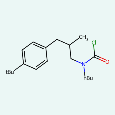 CCCCN(CC(C)Cc1ccc(C(C)(C)C)cc1)C(=O)Cl